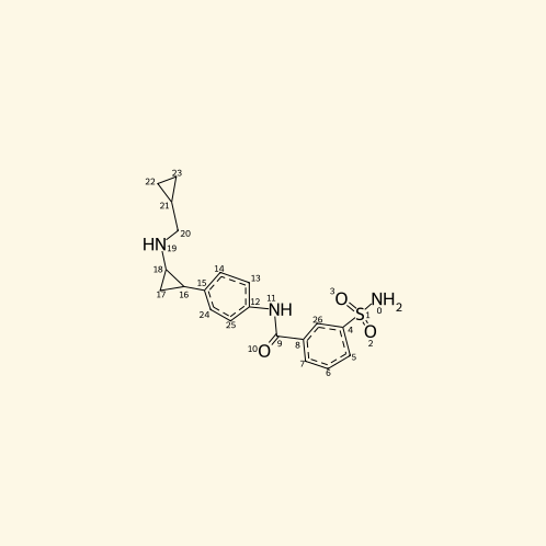 NS(=O)(=O)c1cccc(C(=O)Nc2ccc(C3CC3NCC3CC3)cc2)c1